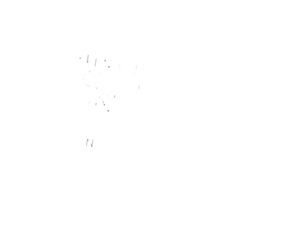 CCCCCCCCCCCCCCCCN(CCC#N)S(=O)(=O)c1ccc(Cl)c(NC(=CC(=O)OCC)CC)c1